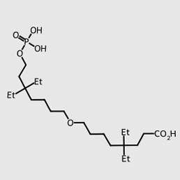 CCC(CC)(CCCCOCCCCC(CC)(CC)CCC(=O)O)CCOP(=O)(O)O